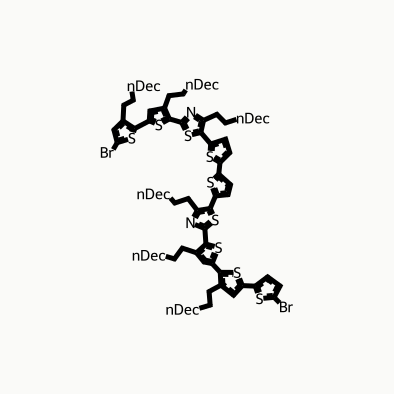 CCCCCCCCCCCCc1cc(Br)sc1-c1cc(CCCCCCCCCCCC)c(-c2nc(CCCCCCCCCCCC)c(-c3ccc(-c4ccc(-c5sc(-c6sc(-c7sc(-c8ccc(Br)s8)cc7CCCCCCCCCCCC)cc6CCCCCCCCCCCC)nc5CCCCCCCCCCCC)s4)s3)s2)s1